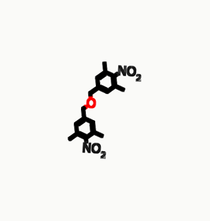 Cc1cc(COCc2cc(C)c([N+](=O)[O-])c(C)c2)cc(C)c1[N+](=O)[O-]